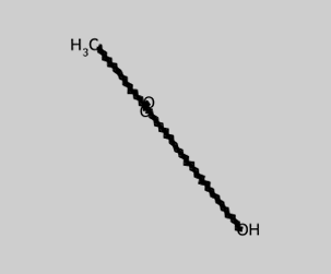 CCCCCCCCC=CCCCCCCCCCC(=O)OCCCCCCCCCCCCCCCCCCCCCCCCCCCCCCCCCCCCO